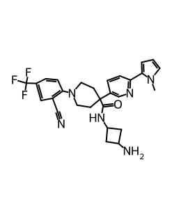 Cn1cccc1-c1ccc(C2(C(=O)NC3CC(N)C3)CCN(c3ccc(C(F)(F)F)cc3C#N)CC2)cn1